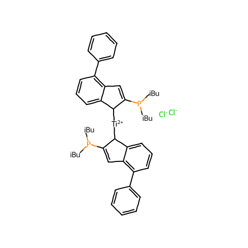 CCC(C)P(C1=Cc2c(-c3ccccc3)cccc2[CH]1[Ti+2][CH]1C(P(C(C)CC)C(C)CC)=Cc2c(-c3ccccc3)cccc21)C(C)CC.[Cl-].[Cl-]